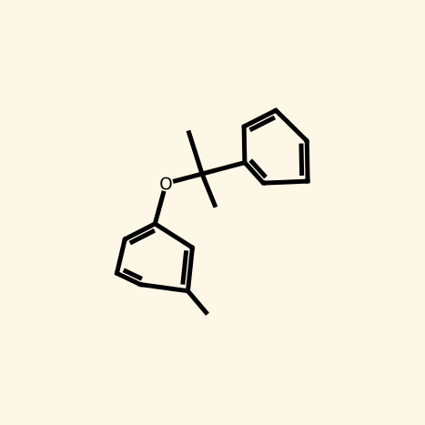 Cc1cccc(OC(C)(C)c2ccccc2)c1